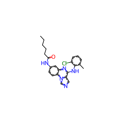 CCCCCC(=O)Nc1ccc2c(c1)nc(Nc1c(C)cccc1Cl)c1cncn12